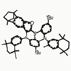 Cc1cc2c(cc1N1c3ccc(C(C)(C)C)cc3B3c4oc5cc6c(cc5c4N(c4ccc5c(c4)C(C)(C)CCC5(C)C)c4cc(C(C)(C)C)cc1c43)C1(C)CCC6(C)C1)C(C)(C)CCC2(C)C